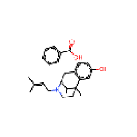 CC(C)=CCN1CCC2(C)c3cc(O)ccc3CC1C2C.O=C(O)c1ccccc1